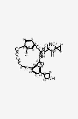 N#CC1(NC(=O)O[C@H]2Cc3ccc(c(Cl)c3)OCCCCOc3ccc(C4CNC4)cc3C(=O)N2)CC1